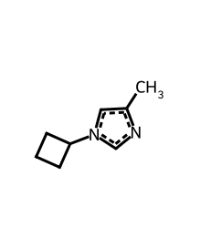 Cc1cn(C2CCC2)cn1